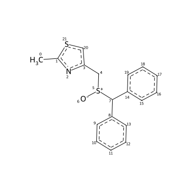 Cc1nc(C[S+]([O-])C(c2ccccc2)c2ccccc2)cs1